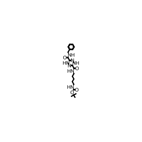 CC(C)(C)OC(=O)NCCCCCNC(=O)C1=NNC(C(=O)NCc2ccccc2)=NN1